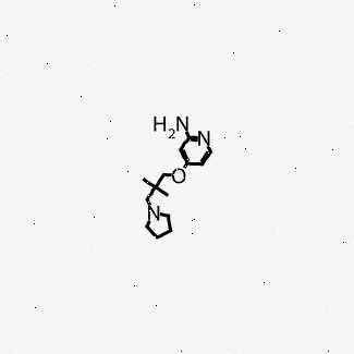 CC(C)(COc1ccnc(N)c1)CN1CCCC1